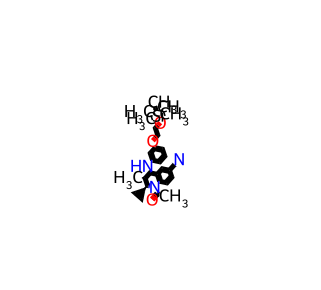 CC(=O)N1c2ccc(C#N)cc2[C@H](Nc2cccc(OCCO[Si](C)(C)C(C)(C)C)c2)[C@@H](C)[C@@H]1C1CC1